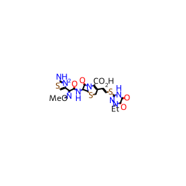 CCn1nc(SC=CC2=C(C(=O)O)N3C(=O)C(NC(=O)C(=NOC)c4csc(N)n4)C3SC2)[nH]c(=O)c1=O